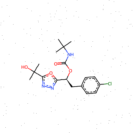 CC(C)(C)NC(=O)O[C@@H](Cc1ccc(Cl)cc1)c1nnc(C(C)(C)O)o1